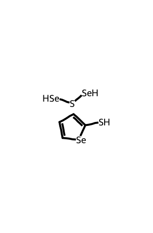 Sc1ccc[se]1.[SeH]S[SeH]